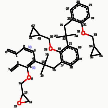 C=C/C=C\C(=C(/C=C)OCC1CO1)C(C)(C)Cc1cccc(C(C)(C)Cc2ccccc2OCC2CC2)c1OCC1CC1